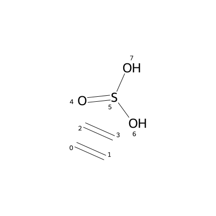 C=C.C=C.O=S(O)O